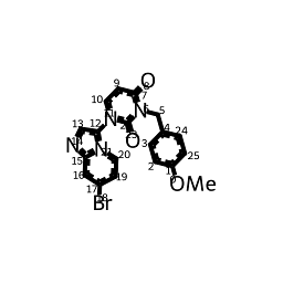 COc1ccc(Cn2c(=O)ccn(-c3cnc4cc(Br)ccn34)c2=O)cc1